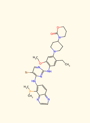 CCc1cc(Nc2ncc(Br)c(Nc3ccc4nccnc4c3P(C)C)n2)c(OC)cc1N1CCC(N2CCCOC2=O)CC1